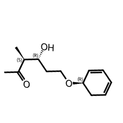 CC(=O)[C@@H](C)[C@H](O)CCO[C@H]1C=CC=CC1